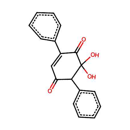 O=C1C=C(c2ccccc2)C(=O)C(O)(O)C1c1ccccc1